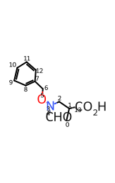 CC(CN(C=O)OCc1ccccc1)C(=O)O